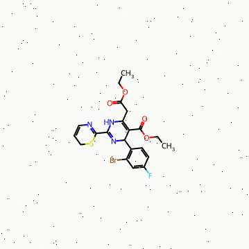 CCOC(=O)CC1=C(C(=O)OCC)C(c2ccc(F)cc2Br)N=C(C2=NC=CCS2)N1